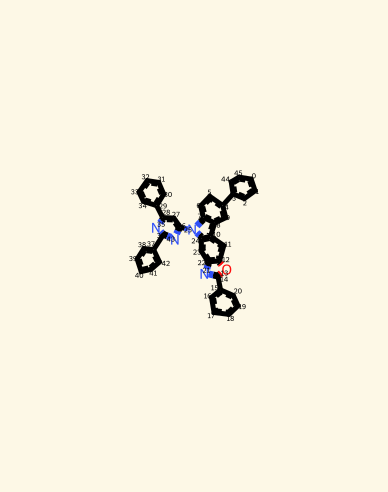 c1ccc(-c2ccc3c(c2)c2cc4oc(-c5ccccc5)nc4cc2n3-c2cc(-c3ccccc3)nc(-c3ccccc3)n2)cc1